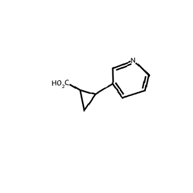 O=C(O)C1CC1c1cccnc1